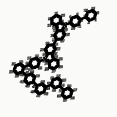 c1ccc(-c2ccc(-n3c4ccccc4c4cc(-c5ccc6c(c5)c5ccccc5n6-c5ccc(-c6ccccc6-c6ccc(-c7cccc(-c8cccc(-c9ccccc9)c8)c7)cc6)cc5)ccc43)cc2)cc1